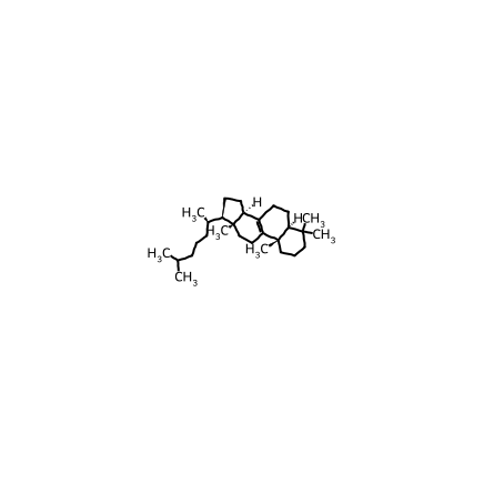 CC(C)CCC[C@@H](C)[C@H]1CC[C@H]2C3=C(CC[C@]12C)[C@@]1(C)CCCC(C)(C)[C@@H]1CC3